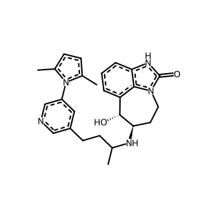 Cc1ccc(C)n1-c1cncc(CCC(C)N[C@@H]2CCn3c(=O)[nH]c4cccc(c43)[C@H]2O)c1